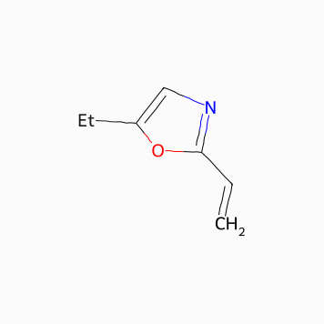 C=Cc1ncc(CC)o1